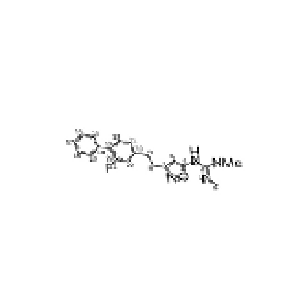 CN=C(NC)Nc1cc(CCc2ccc(-c3ccccc3)c(F)c2)no1